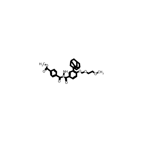 COCCOCOc1ccc(C(=O)N(N)C(=O)c2ccc(C(=O)OC)cc2)cc1C12CC3CC(CC(C3)C1)C2